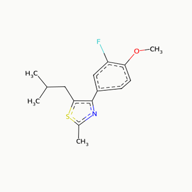 COc1ccc(-c2nc(C)sc2CC(C)C)cc1F